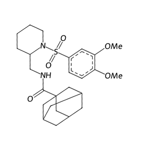 COc1ccc(S(=O)(=O)N2CCCCC2CNC(=O)C23CC4CC(CC(C4)C2)C3)cc1OC